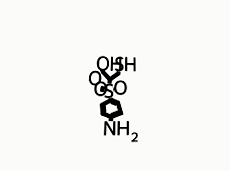 Nc1ccc(S(=O)(=O)C(CS)C(=O)O)cc1